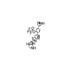 O=C(Oc1cc(-c2cn[nH]c2)ccc1-c1cc2sc(N3C[C@@H]4CCNC[C@@H]43)nc2nn1)C(F)(F)F